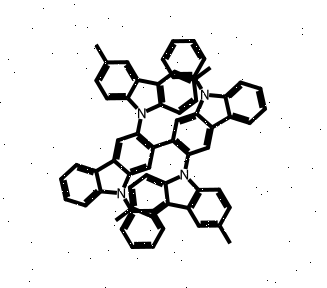 Cc1ccc2c(c1)c1cc(C)ccc1n2-c1cc2c3ccccc3n(-c3ccccc3)c2cc1-c1cc2c(cc1-n1c3ccc(C)cc3c3cc(C)ccc31)c1ccccc1n2-c1ccccc1